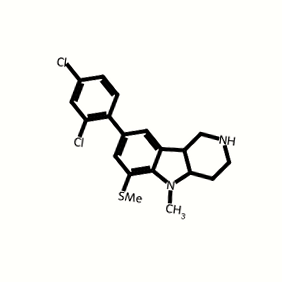 CSc1cc(-c2ccc(Cl)cc2Cl)cc2c1N(C)C1CCNCC21